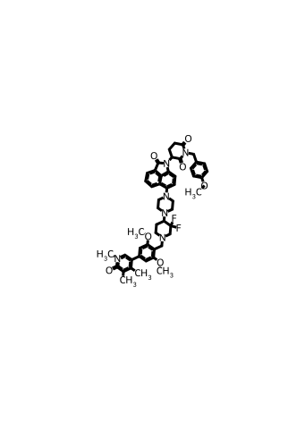 COc1ccc(CN2C(=O)CCC(N3C(=O)c4cccc5c(N6CCN(C7CCN(Cc8c(OC)cc(-c9cn(C)c(=O)c(C)c9C)cc8OC)CC7(F)F)CC6)ccc3c45)C2=O)cc1